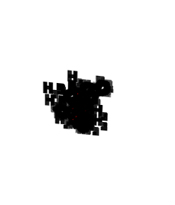 Bc1c(B)c(B)c2c(-c3ccc4c5c(cccc35)-c3ccccc3-4)c3c(B)c(B)c(B)c(B)c3c(-c3ccccc3-c3nc4ccccc4n3-c3ccccc3)c2c1B